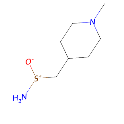 CN1CCC(C[S+](N)[O-])CC1